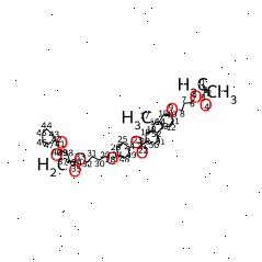 C=C(C)C(=O)OCCCOc1ccc2c(c1)C(C)c1cc(C(=O)Oc3ccc(OCCCCOC(=O)C(=C)CC(=O)OC4CCCCC4)cc3)ccc1-2